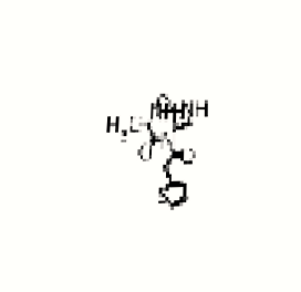 C[C@H](N)C(=O)N(C(=O)Cc1cccs1)C1CNC1=O